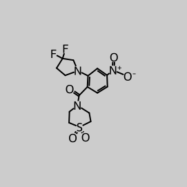 O=C(c1ccc([N+](=O)[O-])cc1N1CCC(F)(F)C1)N1CCS(=O)(=O)CC1